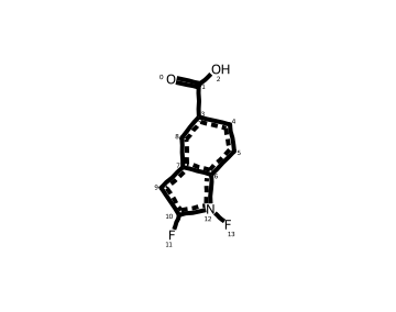 O=C(O)c1ccc2c(c1)cc(F)n2F